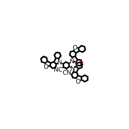 N#Cc1c(-n2c3ccccc3c3c4c(ccc32)oc2ccccc24)cc(-n2c3ccccc3c3c4c(ccc32)oc2ccccc24)c(-n2c3ccccc3c3c4c(ccc32)oc2ccccc24)c1C#N